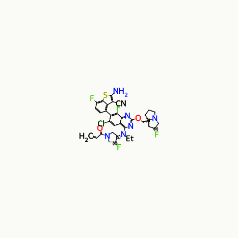 C=CC(=O)N1C[C@@H](F)[C@@H](N(CC)c2nc(OC[C@@]34CCCN3C[C@H](F)C4)nc3c(F)c(-c4ccc(F)c5sc(N)c(C#N)c45)c(Cl)cc23)C1